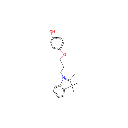 CC1=[N+](CCCOc2ccc(O)cc2)c2ccccc2C1(C)C